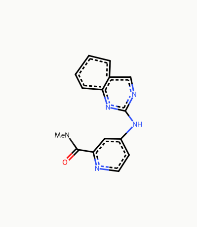 CNC(=O)c1cc(Nc2ncc3ccccc3n2)ccn1